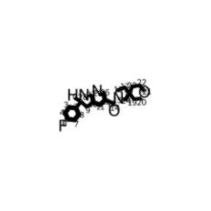 CC1(c2ccc(F)cc2)Cc2cc(C(=O)N3CCC4(CCOCC4)C3)cnc2N1